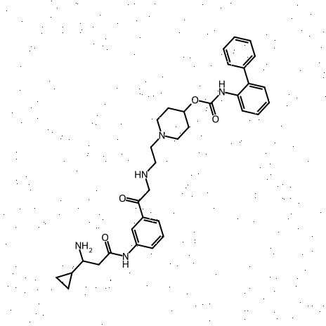 NC(CC(=O)Nc1cccc(C(=O)CNCCN2CCC(OC(=O)Nc3ccccc3-c3ccccc3)CC2)c1)C1CC1